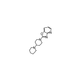 c1cnc2nc(N3CCC(N4CCCCC4)CC3)oc2c1